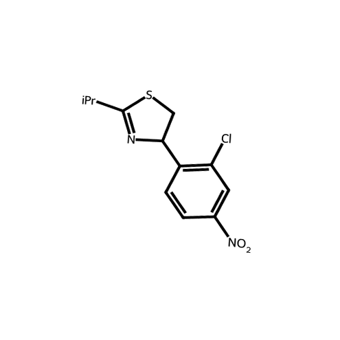 CC(C)C1=NC(c2ccc([N+](=O)[O-])cc2Cl)CS1